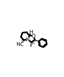 C[C@@H]1[C@H](c2ccccc2)O[C@@H]2CCC[C@@H](C#N)N12